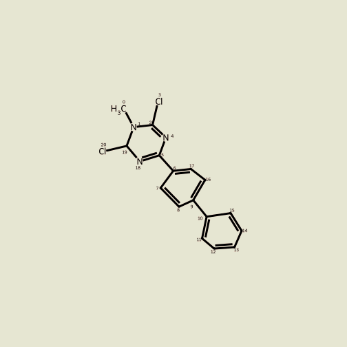 CN1C(Cl)=NC(c2ccc(-c3ccccc3)cc2)=NC1Cl